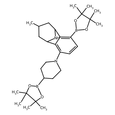 CC1CC2NC(C1)c1c(N3CCC(B4OC(C)(C)C(C)(C)O4)CC3)ccc(B3OC(C)(C)C(C)(C)O3)c12